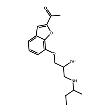 CCC(C)NCC(O)COc1cccc2cc(C(C)=O)oc12